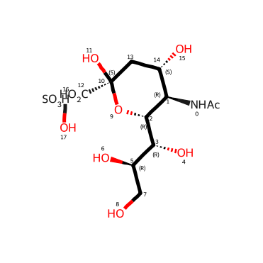 CC(=O)N[C@H]1[C@H]([C@H](O)[C@H](O)CO)O[C@](O)(C(=O)O)C[C@@H]1O.O=S(=O)(O)O